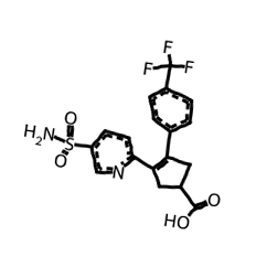 NS(=O)(=O)c1ccc(C2=C(c3ccc(C(F)(F)F)cc3)CC(C(=O)O)C2)nc1